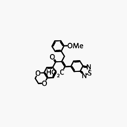 COc1ccccc1CC(C(=O)c1ccc2c(c1)OCCO2)=C(C(=O)O)c1ccc2nsnc2c1